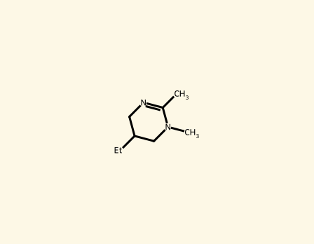 CCC1CN=C(C)N(C)C1